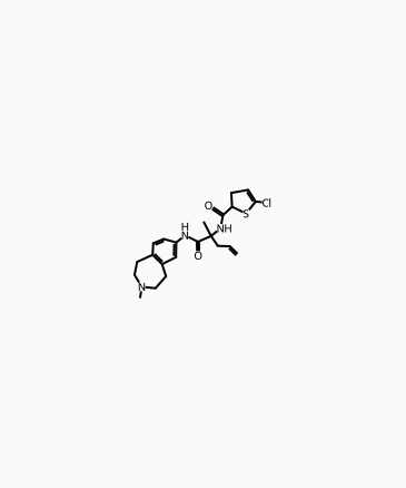 C=CCC(C)(NC(=O)C1CC=C(Cl)S1)C(=O)Nc1ccc2c(c1)CCN(C)CC2